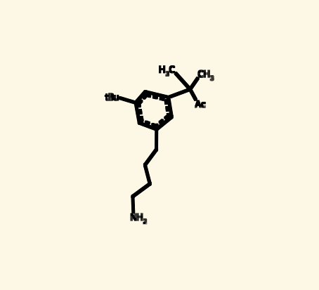 CC(=O)C(C)(C)c1cc(CCCCN)cc(C(C)(C)C)c1